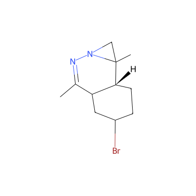 CC1=NN2CC2(C)[C@@H]2CCC(Br)CC12